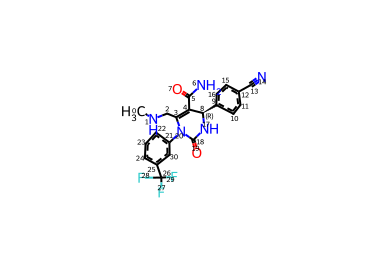 CNCC1=C(C(N)=O)[C@@H](c2ccc(C#N)cc2)NC(=O)N1c1cccc(C(F)(F)F)c1